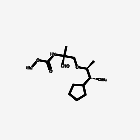 CC(C)CO[C@H](C1CCCC1)[C@H](C)OC[C@](C)(C=O)NC(=O)OC(C)(C)C